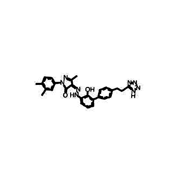 CC1=NN(c2ccc(C)c(C)c2)C(=O)C1=NNc1cccc(-c2ccc(CCc3nnn[nH]3)cc2)c1O